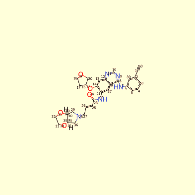 C#Cc1cccc(Nc2ncnc3cc(OC4CCOC4)c(NC(=O)C=CCN4C[C@@H]5OCCO[C@@H]5C4)cc23)c1